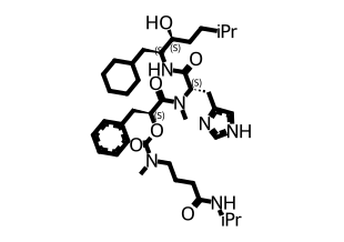 CC(C)CC[C@H](O)[C@H](CC1CCCCC1)NC(=O)[C@H](Cc1c[nH]cn1)N(C)C(=O)[C@H](Cc1ccccc1)OC(=O)N(C)CCCC(=O)NC(C)C